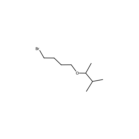 CC(C)C(C)OCCCCBr